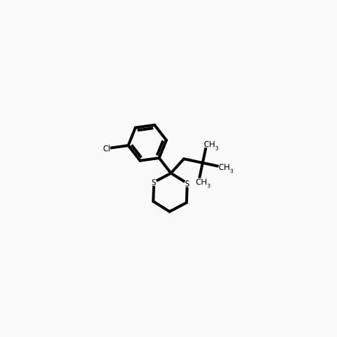 CC(C)(C)CC1(c2cccc(Cl)c2)SCCCS1